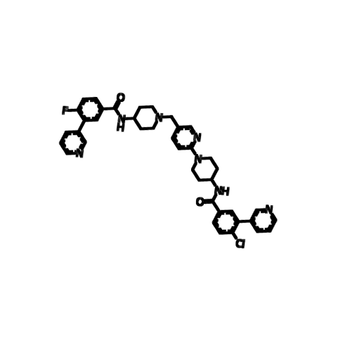 O=C(NC1CCN(Cc2ccc(N3CCC(NC(=O)c4ccc(Cl)c(-c5cccnc5)c4)CC3)nc2)CC1)c1ccc(F)c(-c2cccnc2)c1